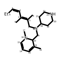 CC/C=C\C(C)=C(/C)CN(CC1C(C)=CC=CN1C)C1CCNCC1